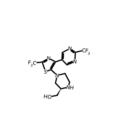 OC[C@H]1CN(c2sc(C(F)(F)F)nc2-c2cnc(C(F)(F)F)nc2)CCN1